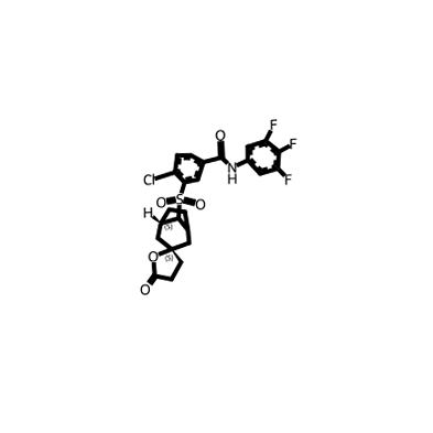 O=C1CC[C@@]2(CC3CC[C@@H](C2)C3S(=O)(=O)c2cc(C(=O)Nc3cc(F)c(F)c(F)c3)ccc2Cl)O1